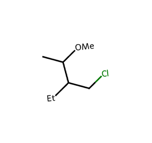 CCC(CCl)C(C)OC